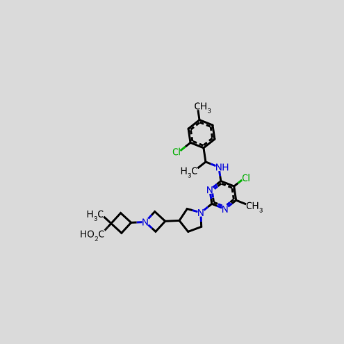 Cc1ccc(C(C)Nc2nc(N3CCC(C4CN(C5CC(C)(C(=O)O)C5)C4)C3)nc(C)c2Cl)c(Cl)c1